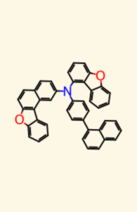 c1ccc2c(-c3ccc(N(c4ccc5ccc6oc7ccccc7c6c5c4)c4cccc5oc6ccccc6c45)cc3)cccc2c1